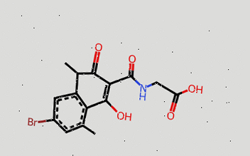 Cc1cc(Br)cc2c1C(O)=C(C(=O)NCC(=O)O)C(=O)C2C